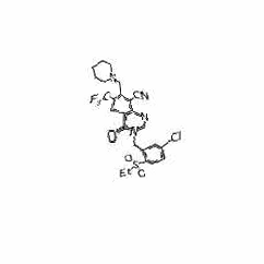 CCS(=O)(=O)c1ccc(Cl)cc1Cn1cnc2c(C#N)c(CN3CCCCC3)c(C(F)(F)F)cc2c1=O